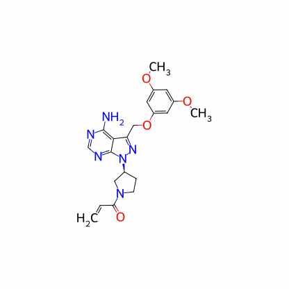 C=CC(=O)N1CC[C@H](n2nc(COc3cc(OC)cc(OC)c3)c3c(N)ncnc32)C1